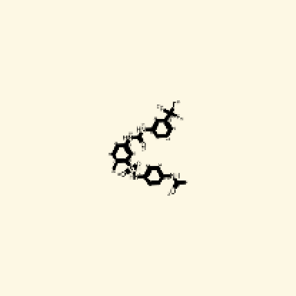 CC(=O)Nc1ccc(NS(=O)(=O)c2cc(NC(=O)Nc3cccc(C(F)(F)F)c3)ccc2C)cc1